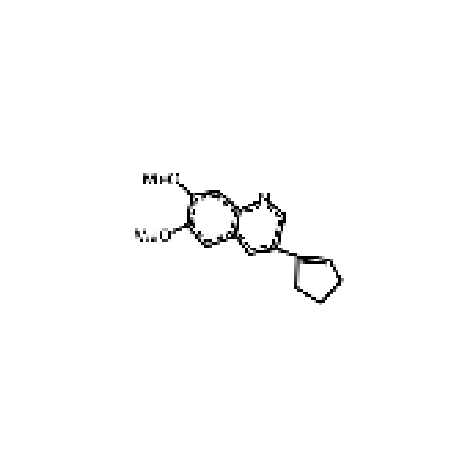 COc1cc2cc(C3=CCCC3)cnc2cc1OC